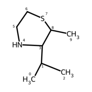 CC(C)C1NCCSC1C